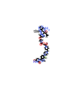 Cc1nc(-c2c(-c3nn(C(C)(C)C)c4ncnc(N)c34)noc2C2CC2)ncc1OC1CN(C(=O)OCC(=O)N2CCC(CN3CCN(c4ccc5c(N6CCC(=O)NC6=O)nn(C)c5c4F)CC3)CC2)C1